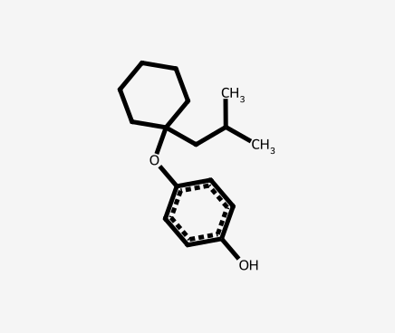 CC(C)CC1(Oc2ccc(O)cc2)CCCCC1